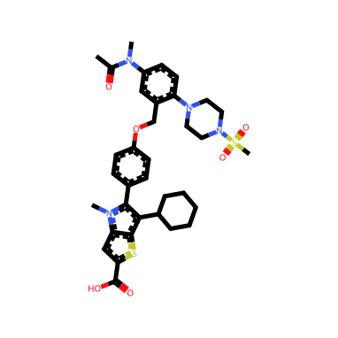 CC(=O)N(C)c1ccc(N2CCN(S(C)(=O)=O)CC2)c(COc2ccc(-c3c(C4CCCCC4)c4sc(C(=O)O)cc4n3C)cc2)c1